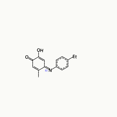 CCc1ccc(/N=C2\C=C(O)C(=O)C=C2C)cc1